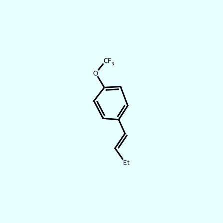 CC/C=C/c1ccc(OC(F)(F)F)cc1